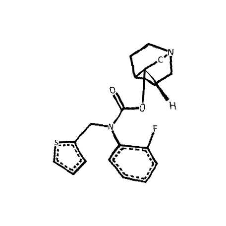 O=C(O[C@H]1CN2CCC1CC2)N(Cc1cccs1)c1ccccc1F